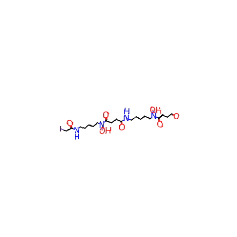 O=CCCC(=O)N(O)CCCCCNC(=O)CCC(=O)N(O)CCCCCNC(=O)CI